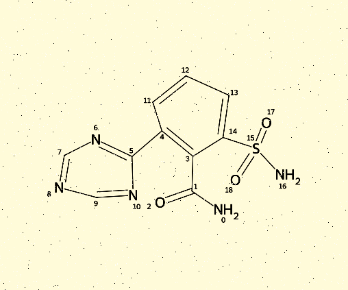 NC(=O)c1c(-c2ncncn2)cccc1S(N)(=O)=O